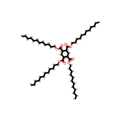 CCCCCCCCCCCCOC(=O)C1CC(C(=O)OCCCCCCCCCCCC)C(C(=O)OCCCCCCCCCCCC)CC1C(=O)OCCCCCCCCCCCC